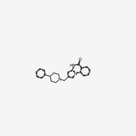 O=c1[nH]c2cc(CN3CCC(c4ccccc4)CC3)cn2c2ccccc12